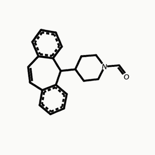 O=CN1CCC(C2c3ccccc3C=Cc3ccccc32)CC1